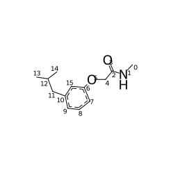 CNC(=O)COc1cccc(CC(C)C)c1